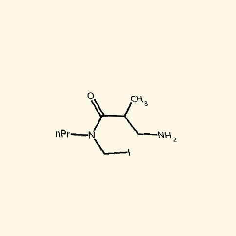 CCCN(CI)C(=O)C(C)CN